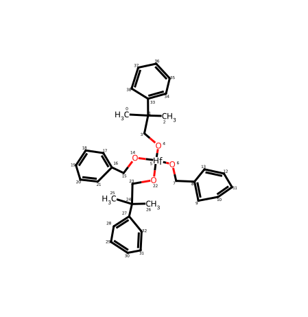 CC(C)(C[O][Hf]([O]Cc1ccccc1)([O]Cc1ccccc1)[O]CC(C)(C)c1ccccc1)c1ccccc1